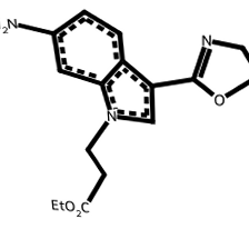 CCOC(=O)CCn1cc(C2=NCCO2)c2ccc(N)cc21